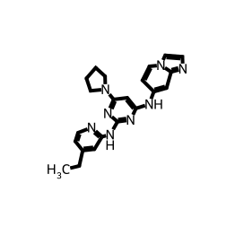 CCc1ccnc(Nc2nc(Nc3ccn4ccnc4c3)cc(N3CCCC3)n2)c1